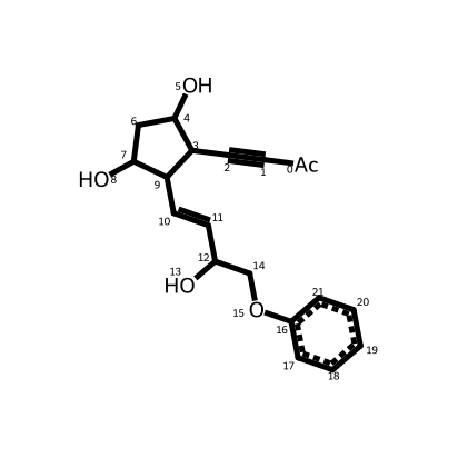 CC(=O)C#CC1C(O)CC(O)C1C=CC(O)COc1ccccc1